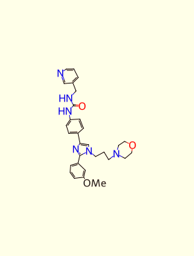 COc1cccc(-c2nc(-c3ccc(NC(=O)NCc4cccnc4)cc3)cn2CCCN2CCOCC2)c1